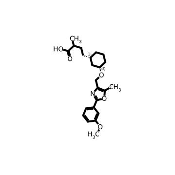 COc1cccc(-c2nc(CO[C@H]3CCC[C@@H](CCC(C)C(=O)O)C3)c(C)o2)c1